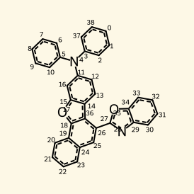 c1ccc(N(c2ccccc2)c2ccc3c(c2)oc2c4ccccc4cc(-c4nc5ccccc5o4)c32)cc1